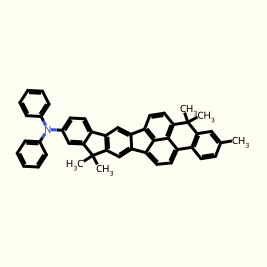 Cc1ccc2c(c1)C(C)(C)c1ccc3c4c(ccc-2c14)-c1cc2c(cc1-3)-c1ccc(N(c3ccccc3)c3ccccc3)cc1C2(C)C